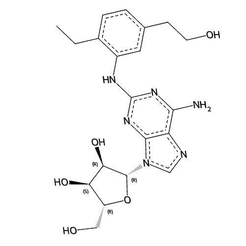 CCc1ccc(CCO)cc1Nc1nc(N)c2ncn([C@@H]3O[C@H](CO)[C@@H](O)[C@H]3O)c2n1